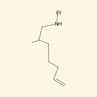 C=CCCCC(C)CNCC